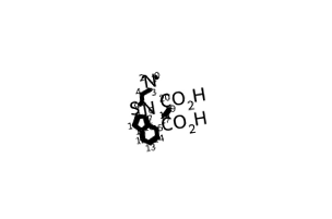 CN(C)CCc1nc2c(s1)=CC1=CC=CCC=21.O=C(O)C=CC(=O)O